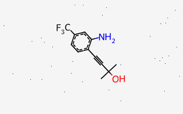 CC(C)(O)C#Cc1ccc(C(F)(F)F)cc1N